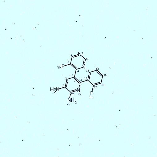 Nc1cc(-c2ccncc2F)c(-c2ccccc2F)nc1N